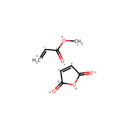 C=CC(=O)OC.O=C1C=CC(=O)O1